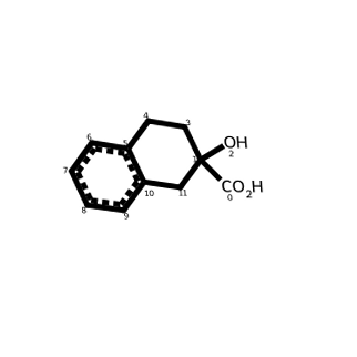 O=C(O)C1(O)CCc2ccccc2C1